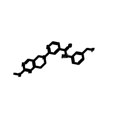 CSc1ncc2c(n1)CCN(c1cc(C(=O)Nc3cccc(CF)c3)ccn1)C2